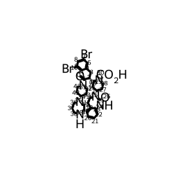 O=C(C(Cc1cc(Br)cc(Br)c1)[C@H]1CC(N2CCc3ccccc3NC2=O)CCN1C(=O)O)N1CCC(N2CCCNCC2)CC1